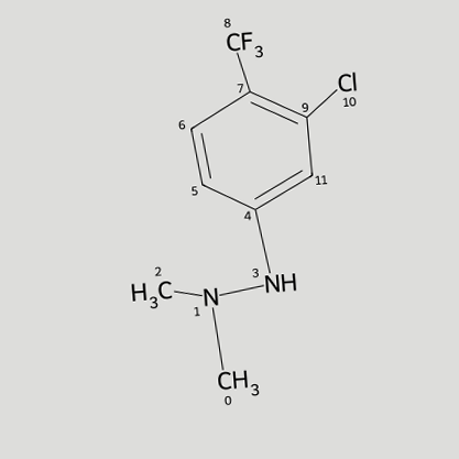 CN(C)Nc1ccc(C(F)(F)F)c(Cl)c1